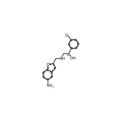 O=[N+]([O-])c1ccc2oc(CNC[C@H](O)c3cccc(Cl)c3)cc2c1